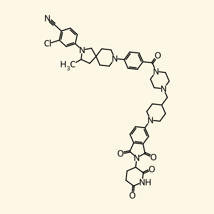 CC1CC2(CCN(c3ccc(C(=O)N4CCN(CC5CCN(c6ccc7c(c6)C(=O)N(C6CCC(=O)NC6=O)C7=O)CC5)CC4)cc3)CC2)CN1c1ccc(C#N)c(Cl)c1